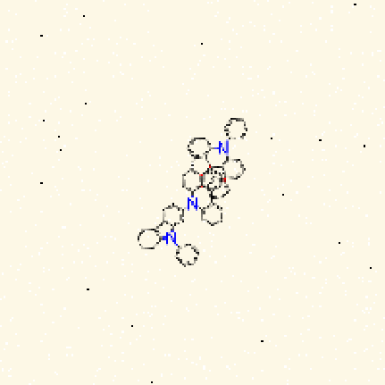 C1=Cc2c(n(-c3ccccc3)c3cc(N(c4ccc5c(c4)C4(c6ccccc6)c6ccccc6N(c6ccccc6)c6cccc-5c64)c4ccccc4-c4ccccc4)ccc23)CC1